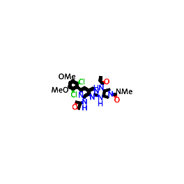 C=CC(=O)N[C@H]1CN(C(=O)NC)C[C@H]1Nc1ncc2cc(-c3c(Cl)c(OC)cc(OC)c3Cl)nc(NC3COC3)c2n1